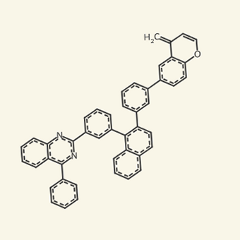 C=C1C=COc2ccc(-c3cccc(-c4ccc5ccccc5c4-c4cccc(-c5nc(-c6ccccc6)c6ccccc6n5)c4)c3)cc21